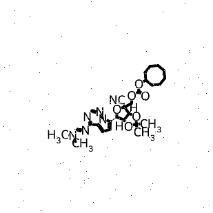 CN(C)C=Nc1ncnn2c([C@@H]3O[C@](C#N)(COC(=O)OC4CCCCCCC4)[C@H]4OC(C)(C)O[C@@H]34)ccc12